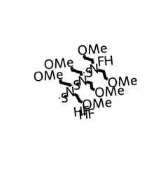 COCCN([S])CCOC.COCCN([S])CCOC.COCCN([S])CCOC.F.F.F